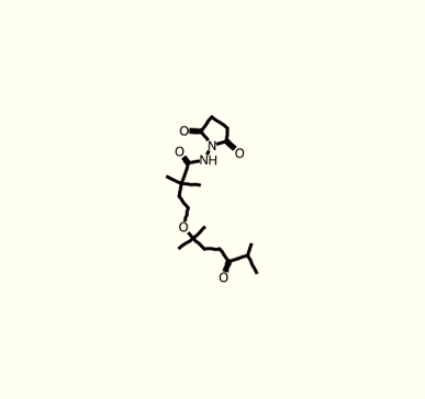 CC(C)C(=O)CCC(C)(C)OCCC(C)(C)C(=O)NN1C(=O)CCC1=O